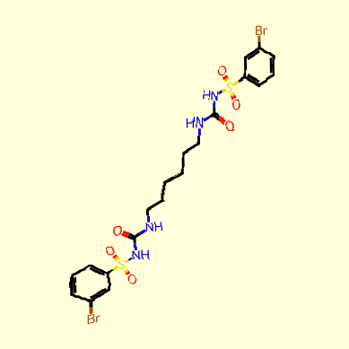 O=C(NCCCCCCNC(=O)NS(=O)(=O)c1cccc(Br)c1)NS(=O)(=O)c1cccc(Br)c1